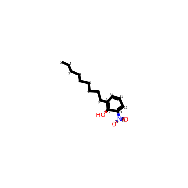 CCCCCCCCCc1cccc([N+](=O)[O-])c1O